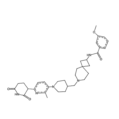 COc1cccc(C(=O)NC2CC3(CCN(CC4CCN(c5ccc(C6CCC(=O)NC6=O)nc5C)CC4)CC3)C2)c1